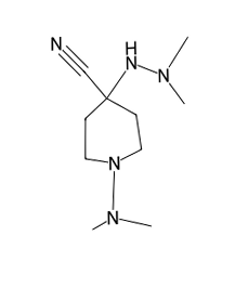 CN(C)NC1(C#N)CCN(N(C)C)CC1